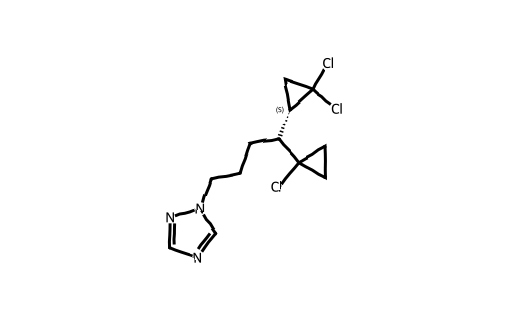 ClC1(C(CCCn2cncn2)[C@@H]2CC2(Cl)Cl)CC1